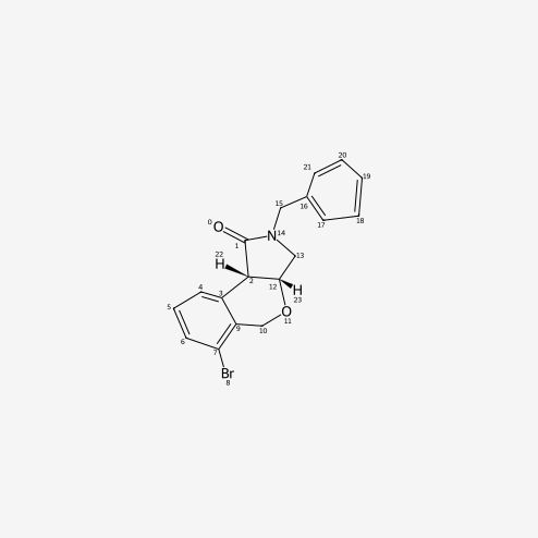 O=C1[C@H]2c3cccc(Br)c3CO[C@H]2CN1Cc1ccccc1